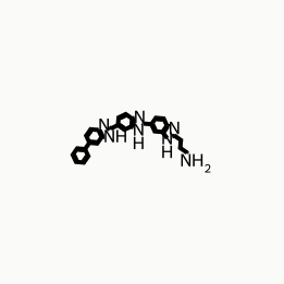 NCCCc1nc2ccc(-c3nc4ccc(-c5nc6ccc(-c7ccccc7)cc6[nH]5)cc4[nH]3)cc2[nH]1